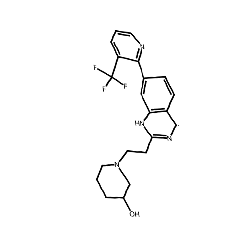 OC1CCCN(CCC2=N[CH]c3ccc(-c4ncccc4C(F)(F)F)cc3N2)C1